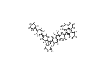 Cc1cccc(N(c2ccc(-c3ccc(-c4ccccc4)cc3)cc2)c2ccc3c(c2)C(C)(C)c2cc(N(c4ccccc4)c4cccc5ccccc45)ccc2-3)c1